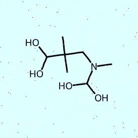 CN(CC(C)(C)C(O)O)C(O)O